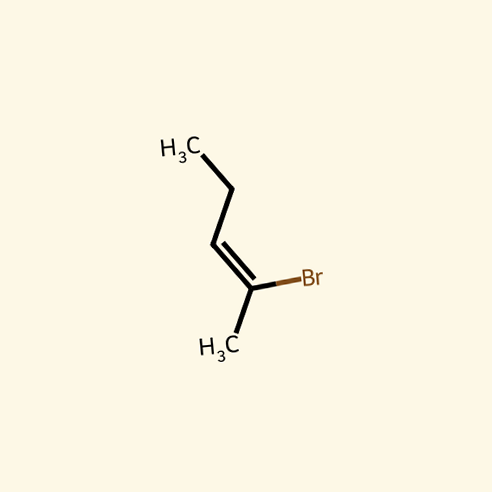 CCC=C(C)Br